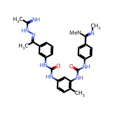 C/N=C(\NC)c1ccc(NC(=O)Nc2cc(NC(=O)Nc3cccc(/C(C)=N/NC(C)=N)c3)ccc2C)cc1